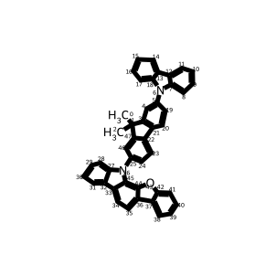 CC1(C)c2cc(-n3c4ccccc4c4ccccc43)ccc2-c2ccc(-n3c4ccccc4c4ccc5c6ccccc6oc5c43)cc21